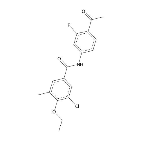 CCOc1c(C)cc(C(=O)Nc2ccc(C(C)=O)c(F)c2)cc1Cl